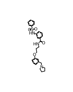 O=C(NCCCOc1cccc(CN2CCCC2)c1)c1cccc(NS(=O)(=O)c2ccccc2)c1